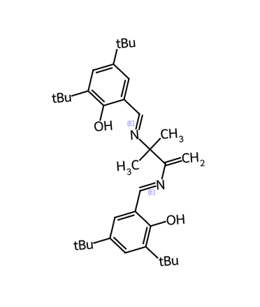 C=C(/N=C/c1cc(C(C)(C)C)cc(C(C)(C)C)c1O)C(C)(C)/N=C/c1cc(C(C)(C)C)cc(C(C)(C)C)c1O